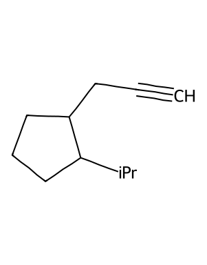 C#CCC1CCCC1C(C)C